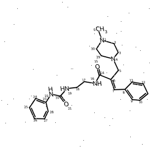 CN1CCN(C/C(=C\c2ccccc2)C(=O)NCCNC(=O)Nc2ccccc2)CC1